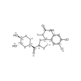 CC1C(=O)Nc2cc(Cl)c(Cl)cc2[C@]12CCN(C(=O)[C@@H]1CC[C@H](O)[C@@H](O)C1)C2